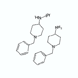 CC(C)NC1CCN(Cc2ccccc2)CC1.NC1CCN(Cc2ccccc2)CC1